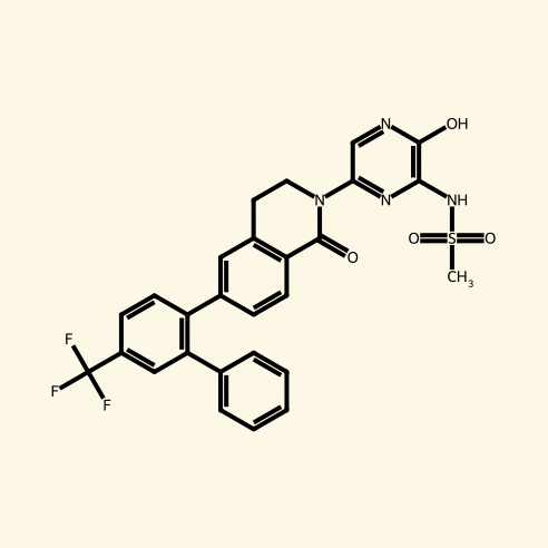 CS(=O)(=O)Nc1nc(N2CCc3cc(-c4ccc(C(F)(F)F)cc4-c4ccccc4)ccc3C2=O)cnc1O